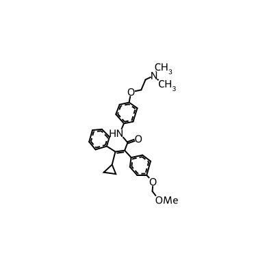 COCOc1ccc(C(C(=O)Nc2ccc(OCCN(C)C)cc2)=C(c2ccccc2)C2CC2)cc1